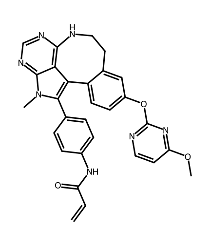 C=CC(=O)Nc1ccc(-c2c3c4c(ncnc4n2C)NCCc2cc(Oc4nccc(OC)n4)ccc2-3)cc1